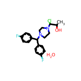 CC(O)C(Cl)N1CCN(C(c2ccc(F)cc2)c2ccc(F)cc2)CC1.O